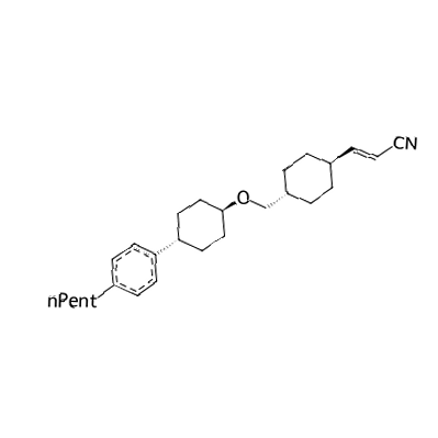 CCCCCc1ccc([C@H]2CC[C@H](OC[C@H]3CC[C@H](C=CC#N)CC3)CC2)cc1